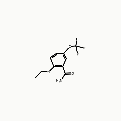 CC[N]c1ccc(OC(F)(F)F)cc1C(N)=O